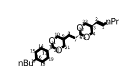 CCC/C=C/[C@H]1CO[C@H](CCC2COC([C@H]3CC[C@H](CCCC)CC3)OC2)OC1